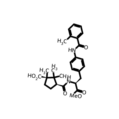 COC(=O)[C@H](Cc1ccc(NC(=O)c2ccccc2C)cc1)NC(=O)[C@H]1CC[C@@](C)(C(=O)O)C1(C)C